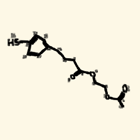 CC(=O)OCCOC(=O)CCCc1ccc(S)cc1